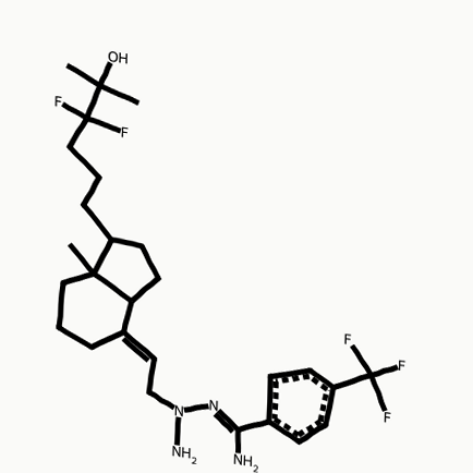 CC12CCC/C(=C\CN(N)/N=C(\N)c3ccc(C(F)(F)F)cc3)C1CCC2CCCC(F)(F)C(C)(C)O